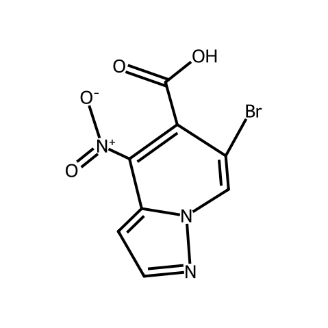 O=C(O)c1c(Br)cn2nccc2c1[N+](=O)[O-]